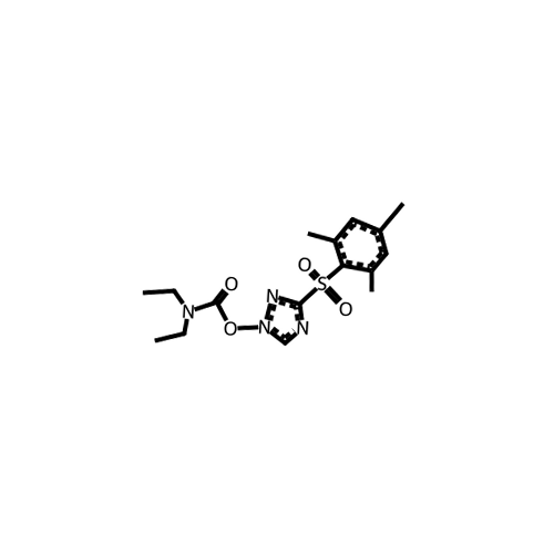 CCN(CC)C(=O)On1cnc(S(=O)(=O)c2c(C)cc(C)cc2C)n1